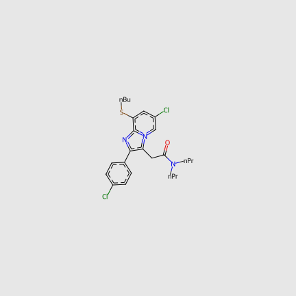 CCCCSc1cc(Cl)cn2c(CC(=O)N(CCC)CCC)c(-c3ccc(Cl)cc3)nc12